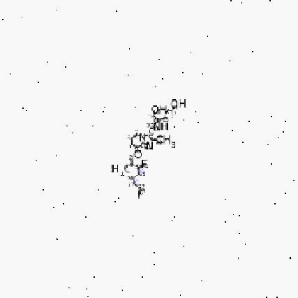 C=C(COc1cccn2c(CN[C@@H](CO)CCCO)c(C)nc12)/C(F)=C\C=C/CF